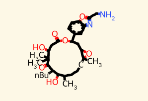 CCCCC1C(=O)C(C)(C)C(O)CC(=O)OC(c2ccc3oc(CN)nc3c2)CC2OC2(C)CCCC(C)C1O